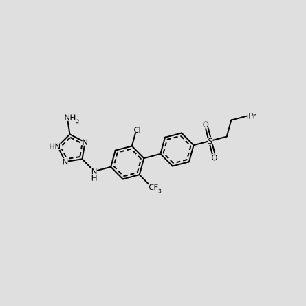 CC(C)CCS(=O)(=O)c1ccc(-c2c(Cl)cc(Nc3n[nH]c(N)n3)cc2C(F)(F)F)cc1